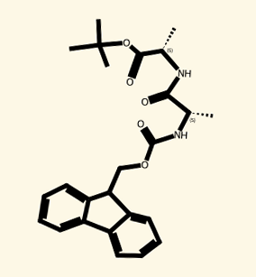 C[C@H](NC(=O)OCC1c2ccccc2-c2ccccc21)C(=O)N[C@@H](C)C(=O)OC(C)(C)C